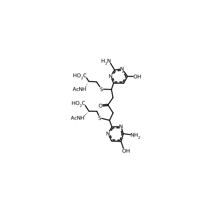 CC(=O)N[C@@H](CSC(CC(=O)CC(SC[C@H](NC(C)=O)C(=O)O)c1ncc(O)c(N)n1)c1cc(O)nc(N)n1)C(=O)O